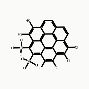 Sc1c(S)c2c([Si](Cl)(Cl)Cl)c([Si](Cl)(Cl)Cl)c3c(Cl)c(Cl)c4c(Cl)c(Cl)c5ccc6ccc1c1c6c5c4c3c21